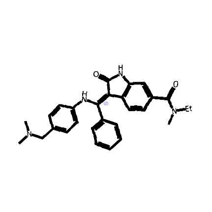 CCN(C)C(=O)c1ccc2c(c1)NC(=O)/C2=C(\Nc1ccc(CN(C)C)cc1)c1ccccc1